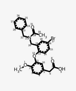 COc1ccc(CC(=O)O)cc1Oc1ccc(Br)cc1CN(Cc1ccccc1)C(C)=O